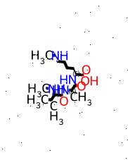 CNCCCC[C@H](NC(=O)[C@H](C)NC(=O)[C@@H](NC)C(C)C)C(=O)O